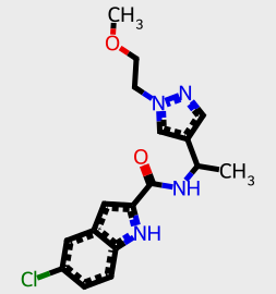 COCCn1cc(C(C)NC(=O)c2cc3cc(Cl)ccc3[nH]2)cn1